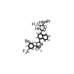 CC(C)NC(=O)C(C)NC(=O)c1ccc(C2=NOC(c3cc(Br)cc(C(F)(F)F)c3)(C(F)(F)F)C2)c2ccccc12